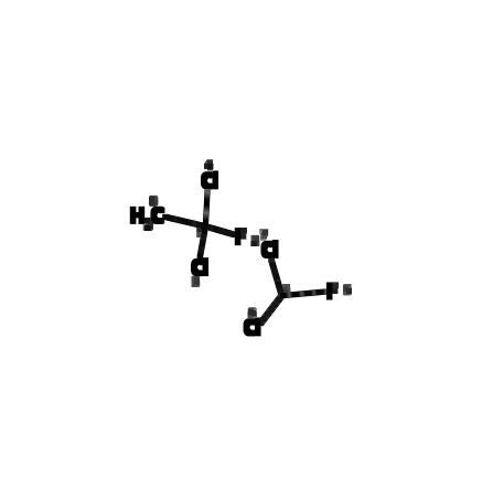 CC(F)(Cl)Cl.FC(Cl)Cl